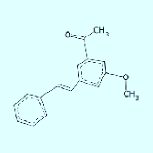 COc1cc(/C=C/c2ccccc2)cc(C(C)=O)c1